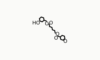 O=C(CCCCCOC(=O)C1CCC2OC2C1)OCC1CCCC(O)C1